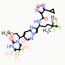 BC1(B)NC(=O)N(C(COC)c2cnn3cc(C(CCC(C)(C)C(F)(F)F)NC(=O)c4nonc4C4CC4)nc3c2)C(B)(B)C1(F)F